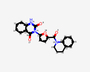 O=C(c1ccc(-n2c(=O)[nH]c3ccccc3c2=O)o1)N1CCCc2ccccc21